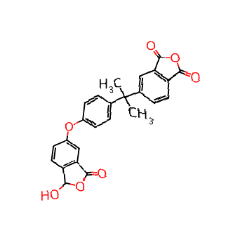 CC(C)(c1ccc(Oc2ccc3c(c2)C(=O)OC3O)cc1)c1ccc2c(c1)C(=O)OC2=O